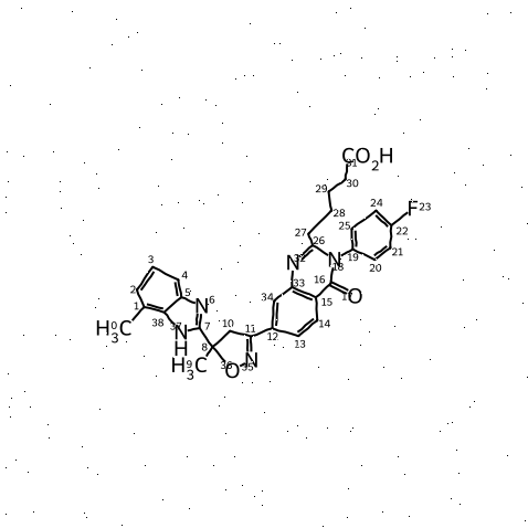 Cc1cccc2nc(C3(C)CC(c4ccc5c(=O)n(-c6ccc(F)cc6)c(CCCCC(=O)O)nc5c4)=NO3)[nH]c12